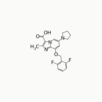 Cc1nc2c(OCc3c(F)cccc3F)cc(N3CCCC3)cn2c1C(=O)O